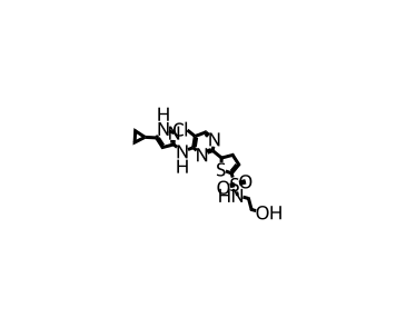 O=S(=O)(NCCO)C1=CCC(c2ncc(Cl)c(Nc3cc(C4CC4)[nH]n3)n2)S1